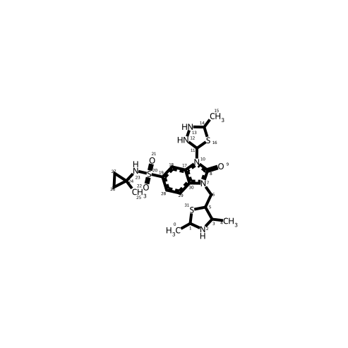 CC1NC(C)C(Cn2c(=O)n(C3NNC(C)S3)c3cc(S(=O)(=O)NC4(C)CC4)ccc32)S1